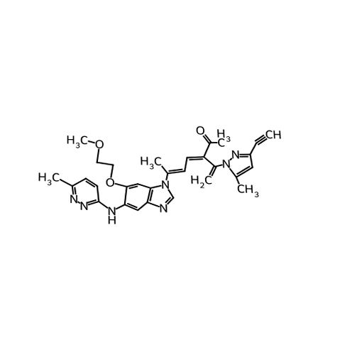 C#Cc1cc(C)n(C(=C)/C(=C\C=C(/C)n2cnc3cc(Nc4ccc(C)nn4)c(OCCOC)cc32)C(C)=O)n1